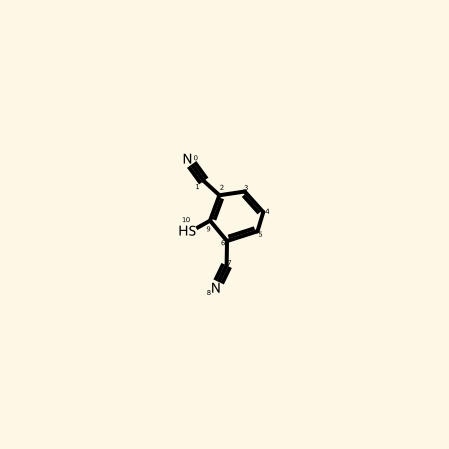 N#Cc1cccc(C#N)c1S